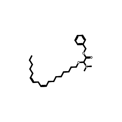 CCCCC/C=C\C/C=C\CCCCCCCCOC(C(=O)OCc1ccccc1)N(C)C